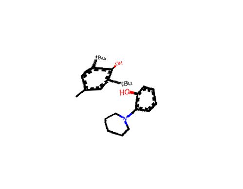 Cc1cc(C(C)(C)C)c(O)c(C(C)(C)C)c1.Oc1ccccc1N1CCCCC1